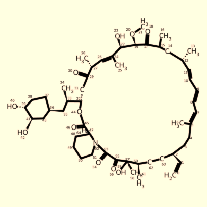 C=C[C@@H]1CC/C(C)=C/C=C/C=C/[C@@H](C)CC(C)C(=O)[C@H](OC)[C@H](O)/C(C)=C/[C@@H](C)C(=O)C[C@@H]([C@H](C)C[C@@H]2CC[C@@H](O)[C@H](O)C2)OC(=O)[C@@H]2CCCCN2C(=O)C(=O)[C@@](C)(O)[C@H](C)CC1